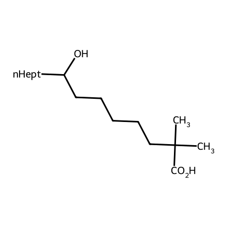 CCCCCCCC(O)CCCCCC(C)(C)C(=O)O